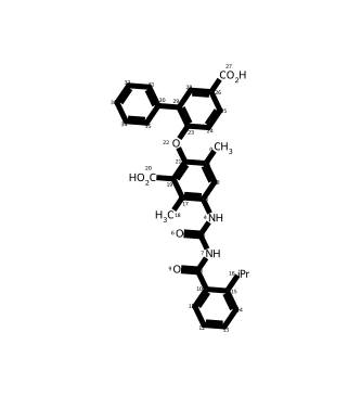 Cc1cc(NC(=O)NC(=O)c2ccccc2C(C)C)c(C)c(C(=O)O)c1Oc1ccc(C(=O)O)cc1-c1ccccc1